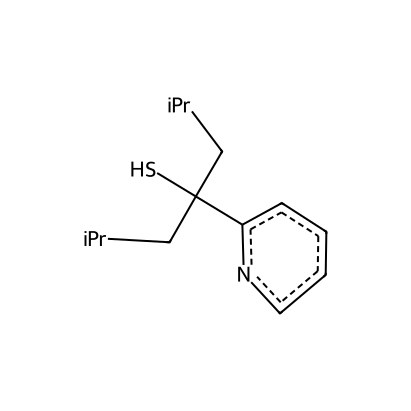 CC(C)CC(S)(CC(C)C)c1ccccn1